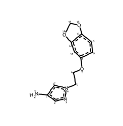 Nc1cnn(CCOc2ccc3c(c2)OCO3)c1